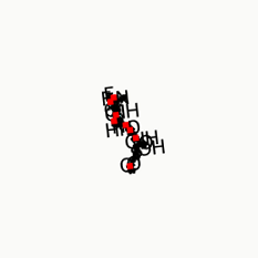 C=NC[C@@H]1CC(F)(F)CN1C(=O)[C@@H](C)NC(=O)c1ccnc(CNC(=O)CCC(=O)NC(CSSCCOC(=O)C(C)C)C(=O)O)c1